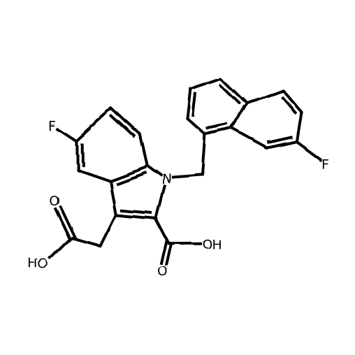 O=C(O)Cc1c(C(=O)O)n(Cc2cccc3ccc(F)cc23)c2ccc(F)cc12